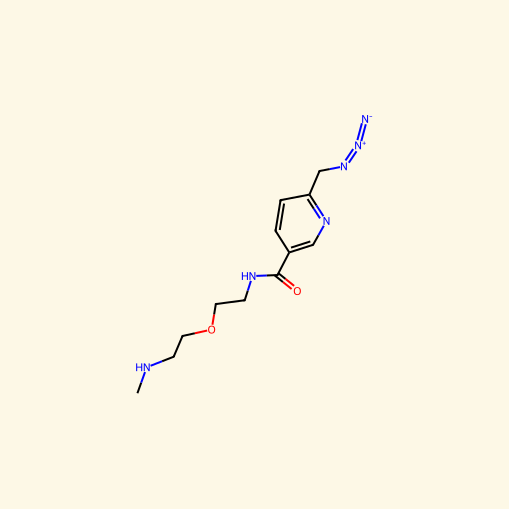 CNCCOCCNC(=O)c1ccc(CN=[N+]=[N-])nc1